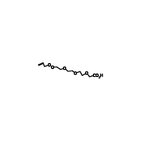 C=CCOOCCOCCOCCOCC(=O)O